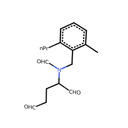 CCCc1cccc(C)c1CN(C=O)C(C=O)CCC=O